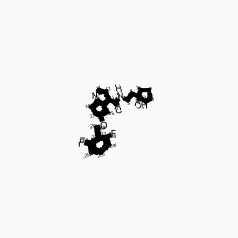 O=C(NCCC1(O)CCCC1)c1ccnc2ccc(OCc3c(F)cccc3F)cc12